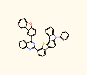 c1ccc(-n2c3ccccc3c3c4sc5c(-c6nc(-c7ccc8oc9ccccc9c8c7)c7ccccc7n6)cccc5c4ccc32)cc1